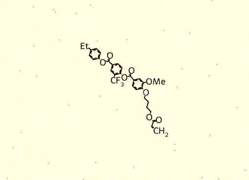 C=CC(=O)OCCCCOc1ccc(C(=O)Oc2ccc(C(=O)Oc3ccc(CC)cc3)cc2C(F)(F)F)cc1OC